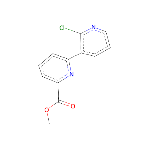 COC(=O)c1cccc(-c2cccnc2Cl)n1